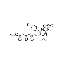 CCOC(=O)CC(=O)C[C@H](O)C=Cc1c(-c2ccc(F)cc2)nc(N(C)S(C)(=O)=O)nc1C(C)C